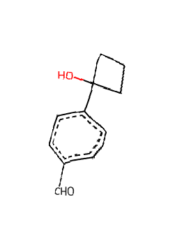 O=Cc1ccc(C2(O)CCC2)cc1